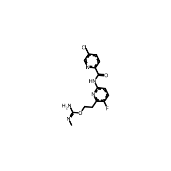 C/N=C(/N)OCCc1nc(NC(=O)c2ccc(Cl)cn2)ccc1F